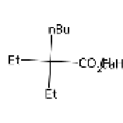 CCCCC(CC)(CC)C(=O)O.[CaH2]